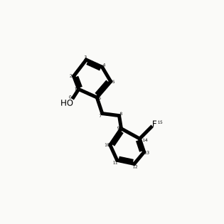 Oc1ccccc1CCc1ccccc1F